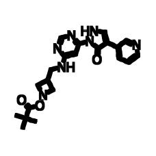 CC(C)(C)C(=O)ON1CC(CNc2cc(-n3[nH]cc(-c4cccnc4)c3=O)ncn2)C1